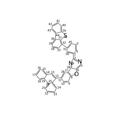 c1cc(-c2ncc3oc4ccc(-c5cc6ccccc6c6ccccc56)cc4c3n2)cc(-c2cccc3c2sc2ccccc23)c1